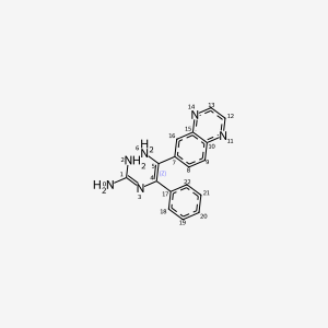 NC(N)=N/C(=C(\N)c1ccc2nccnc2c1)c1ccccc1